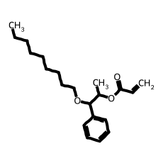 C=CC(=O)OC(C)C(OCCCCCCCCC)c1ccccc1